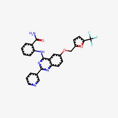 NC(=O)c1ccccc1Nc1nc(-c2cccnc2)nc2ccc(OCc3ccc(C(F)(F)F)o3)cc12